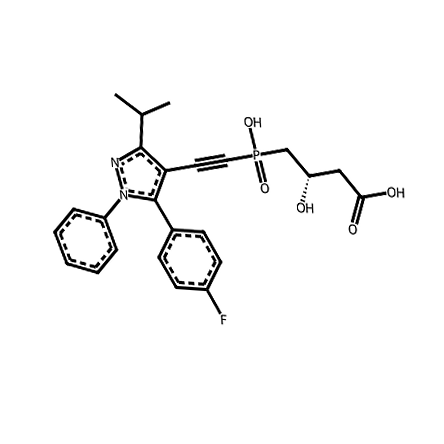 CC(C)c1nn(-c2ccccc2)c(-c2ccc(F)cc2)c1C#CP(=O)(O)C[C@@H](O)CC(=O)O